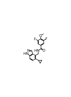 COc1c(F)cc(C(=O)NCc2c(C3CC3)ccc3[nH]ncc23)cc1F